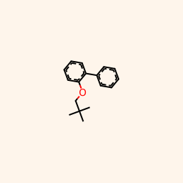 CC(C)(C)COc1ccccc1-c1ccccc1